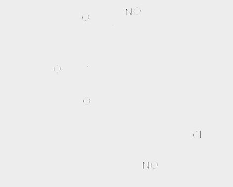 O=NC(=O)c1cc2cc(Cl)c(N=O)cc2oc1=O